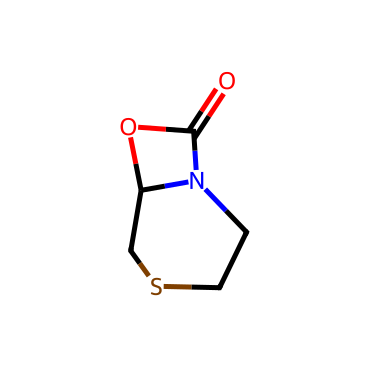 O=C1OC2CSCCN12